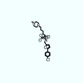 CN1CCN(CCCC2CN(N=Cc3ccc(-c4ccc(Cl)cc4)o3)C(=O)O2)CC1.Cl.Cl